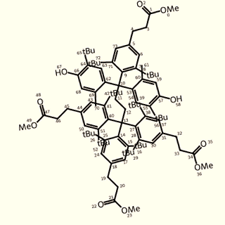 COC(=O)CCc1cc(C(C)(C)C)c(C(CCC(c2c(C(C)(C)C)cc(CCC(=O)OC)cc2C(C)(C)C)(c2c(C(C)(C)C)cc(CCC(=O)OC)cc2C(C)(C)C)c2c(C(C)(C)C)cc(CCC(=O)OC)cc2C(C)(C)C)(c2cc(C(C)(C)C)c(O)cc2C)c2cc(C(C)(C)C)c(O)cc2C)c(C(C)(C)C)c1